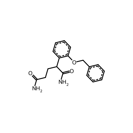 NC(=O)CCC(C(N)=O)c1ccccc1OCc1ccccc1